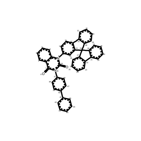 O=c1c2ccccc2n(-c2ccc3c(c2)C2(c4ccccc4-c4ccccc42)c2ccccc2-3)c(=O)n1-c1ccc(-c2ccccc2)cc1